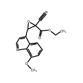 CCOC(=O)C1(C#N)OC1c1ccnc2c(OC)cccc12